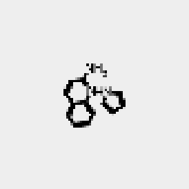 Nc1ccc2ccccc2n1.c1cc[nH]c1